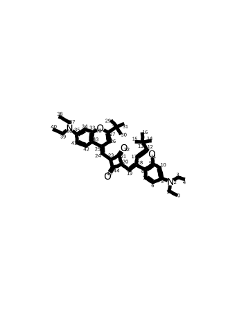 CCN(CC)c1ccc2c(c1)OC(C(C)(C)C)=CC2=CC1C(=O)C(C=C2C=C(C(C)(C)C)Oc3cc(N(CC)CC)ccc32)C1=O